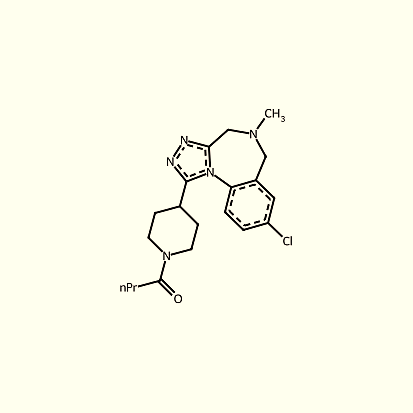 CCCC(=O)N1CCC(c2nnc3n2-c2ccc(Cl)cc2CN(C)C3)CC1